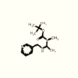 CC(NCc1cccnc1)N(C)C(=O)OC(C)(C)C